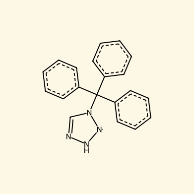 C1=NN[N]N1C(c1ccccc1)(c1ccccc1)c1ccccc1